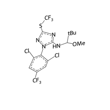 COC(Nc1nc(SC(F)(F)F)nn1-c1c(Cl)cc(C(F)(F)F)cc1Cl)C(C)(C)C